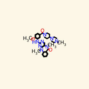 COc1ccc(C(=O)N2CCC(N3CCN(C)CC3)CC2)cc1Nc1ncc2c(n1)N(C)c1ccccc1C(=O)N2C